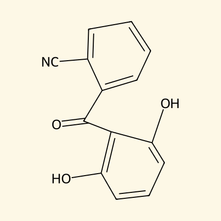 N#Cc1ccccc1C(=O)c1c(O)cccc1O